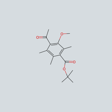 COc1c(C)c(C(=O)OC(C)(C)C)c(C)c(C)c1C(C)=O